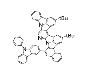 CC(C)(C)c1cc2c3ccccc3n3c4cnc5c(c6cc(C(C)(C)C)cc7c8c9ccccc9cc(-c9ccc%10c(c9)c9ccccc9n%10-c9ccccc9)c8n5c67)c4c(c1)c23